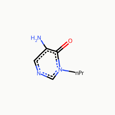 CCCn1cncc(N)c1=O